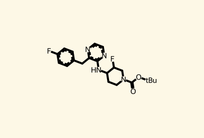 CC(C)(C)OC(=O)N1CCC(Nc2nccnc2Cc2ccc(F)cc2)C(F)C1